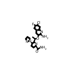 CC(Oc1cc2cc(F)c(Cl)cc2nc1N)c1nc(C(N)=O)ccc1-n1cccn1